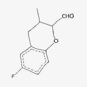 CC1Cc2cc(F)ccc2OC1C=O